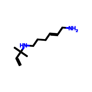 C=CC(C)(C)NCCC/C=C/CN